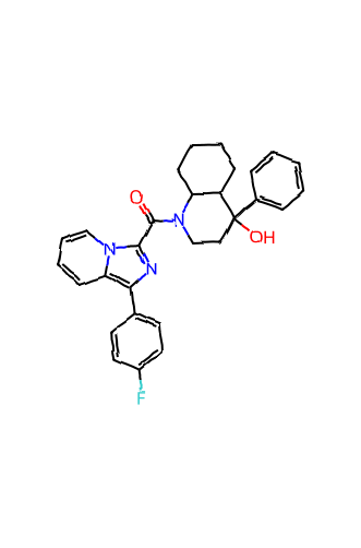 O=C(c1nc(-c2ccc(F)cc2)c2ccccn12)N1CCC(O)(c2ccccc2)C2CCCCC21